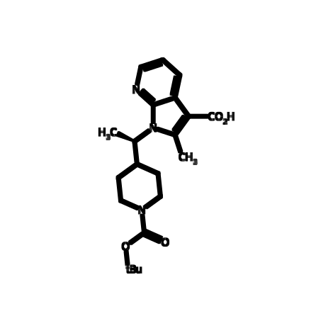 Cc1c(C(=O)O)c2cccnc2n1[C@H](C)C1CCN(C(=O)OC(C)(C)C)CC1